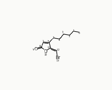 CCCCCCC1=CC(=O)OC1=CBr